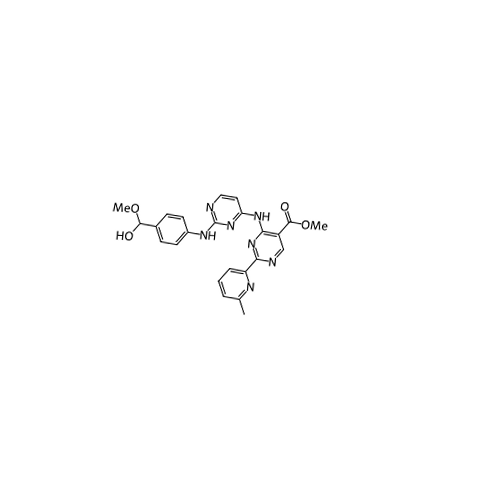 COC(=O)c1cnc(-c2cccc(C)n2)nc1Nc1ccnc(Nc2ccc(C(O)OC)cc2)n1